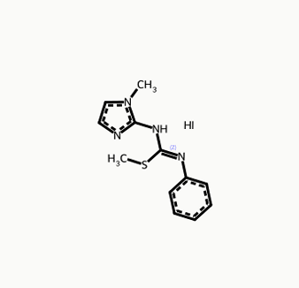 CS/C(=N\c1ccccc1)Nc1nccn1C.I